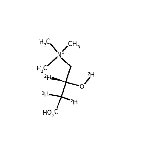 [2H]O[C@@]([2H])(C[N+](C)(C)C)C([2H])([2H])C(=O)O